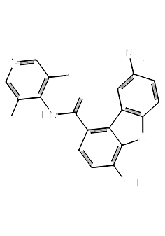 Nc1ccc2oc3c(O)ccc(C(=O)Nc4c(Cl)cncc4I)c3c2c1